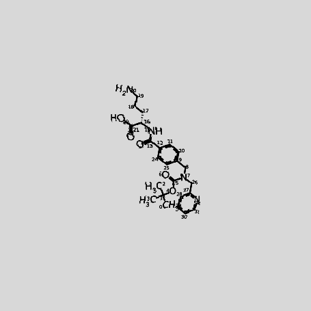 CC(C)(C)OC(=O)N(Cc1ccc(C(=O)N[C@@H](CCCN)C(=O)O)cc1)Cc1ccccn1